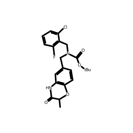 CC1Oc2ccc(CN(Cc3c(F)cccc3Cl)C(=O)OC(C)(C)C)cc2NC1=O